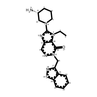 CCn1c(N2CCC[C@@H](N)C2)nc2cnn(Cc3nsc4ccccc34)c(=O)c21